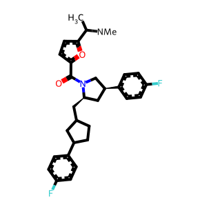 CNC(C)c1ccc(C(=O)N2C[C@@H](c3ccc(F)cc3)C[C@H]2CC2CCC(c3ccc(F)cc3)C2)o1